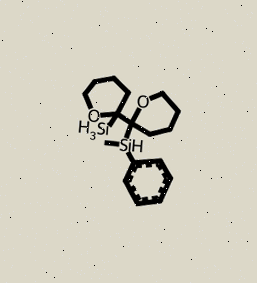 C[SiH](c1ccccc1)C1(C2([SiH3])CCCCO2)CCCCO1